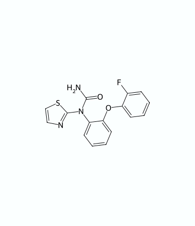 NC(=O)N(c1nccs1)c1ccccc1Oc1ccccc1F